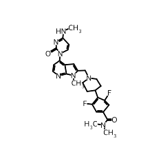 CNc1ccn(-c2ccnc3c2cc(CN2CCC(c4c(F)cc(C(=O)N(C)C)cc4F)CC2)n3C)c(=O)n1